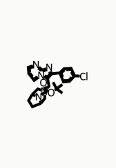 CC(C)(C)OC(=O)N1C2CCC1CN(Cc1c(-c3ccc(Cl)cc3)nc3ncccn13)C2